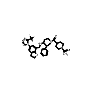 CC(=O)N1CCC(C(=O)N2CCC(NCc3cc(-n4nnnc4C(F)(F)F)cc4c3OCC4)C(c3ccccc3)C2)CC1